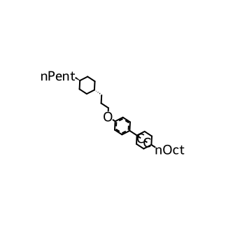 CCCCCCCCC12CCC(c3ccc(OCCC[C@H]4CC[C@H](CCCCC)CC4)cc3)(CC1)CC2